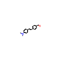 CN(C)c1ccc(/C=C/c2ccc(C=O)cc2)cc1